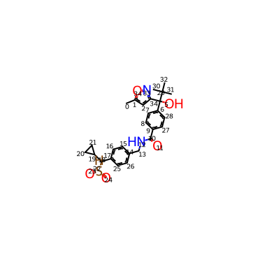 Cc1cc(C(O)(c2ccc(C(=O)NCc3ccc(C(C4CC4)[SH](=O)=O)cc3)cc2)C(C)(C)C)no1